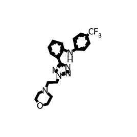 FC(F)(F)c1ccc(Nc2ccccc2-c2nnn(CCN3CCOCC3)n2)cc1